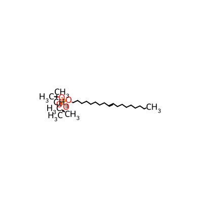 CCCCCCCCC=CCCCCCCCCOP(=O)(OC(C)(C)C)OC(C)(C)C